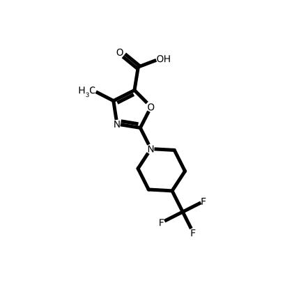 Cc1nc(N2CCC(C(F)(F)F)CC2)oc1C(=O)O